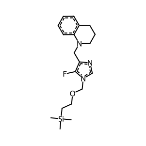 C[Si](C)(C)CCOCn1cnc(CN2CCCc3ccccc32)c1F